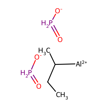 CC[CH](C)[Al+2].O=[PH2][O-].O=[PH2][O-]